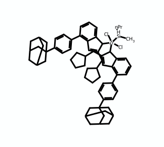 CCC[SiH](C)[Zr]([Cl])([Cl])([CH]1C(CC2CCCC2)=Cc2c(-c3ccc(C45CC6CC(CC(C6)C4)C5)cc3)cccc21)[CH]1C(CC2CCCC2)=Cc2c(-c3ccc(C45CC6CC(CC(C6)C4)C5)cc3)cccc21